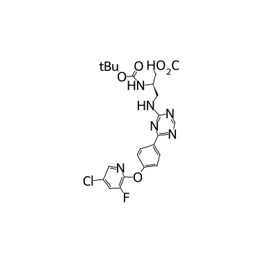 CC(C)(C)OC(=O)N[C@H](CNc1ncnc(-c2ccc(Oc3ncc(Cl)cc3F)cc2)n1)CC(=O)O